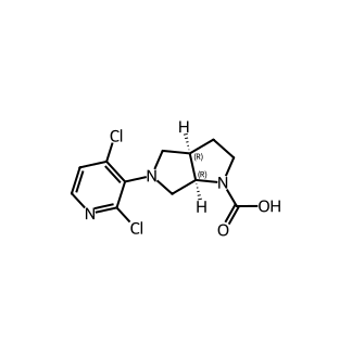 O=C(O)N1CC[C@@H]2CN(c3c(Cl)ccnc3Cl)C[C@@H]21